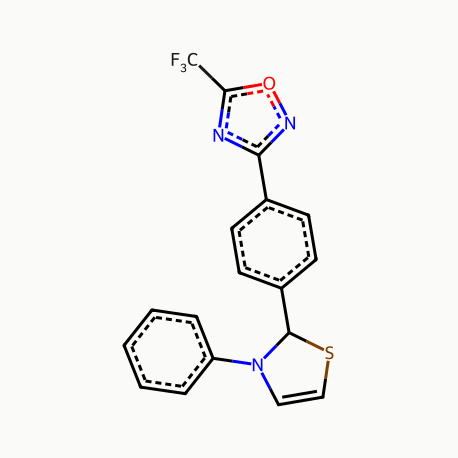 FC(F)(F)c1nc(-c2ccc(C3SC=CN3c3ccccc3)cc2)no1